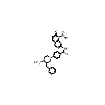 CC(C)[C@H](C)n1c(=O)ccc2cnc(N[C@@H](C)c3ccc(N4CCN(C(=O)O)C(Cc5ccccc5)C4)cc3)nc21